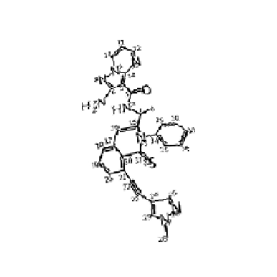 CC(NC(=O)c1c(N)nn2cccnc12)c1cc2cccc(C#Cc3cnn(C)c3)c2c(=S)n1-c1ccccc1